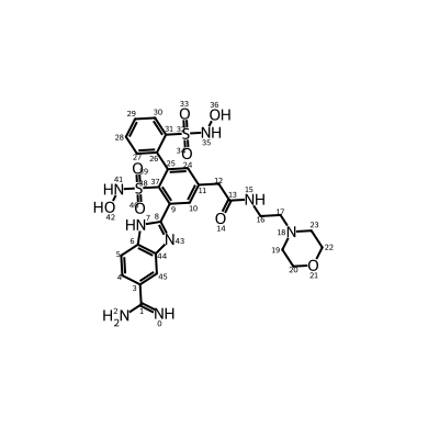 N=C(N)c1ccc2[nH]c(-c3cc(CC(=O)NCCN4CCOCC4)cc(-c4ccccc4S(=O)(=O)NO)c3S(=O)(=O)NO)nc2c1